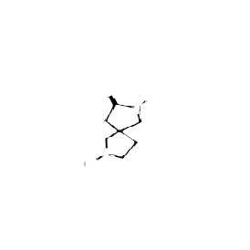 CC(C)N1CCC2(CC(=O)N(C)C2)C1